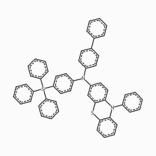 c1ccc(-c2ccc(N(c3ccc([Si](c4ccccc4)(c4ccccc4)c4ccccc4)cc3)c3ccc4c(c3)Sc3ccccc3N4c3ccccc3)cc2)cc1